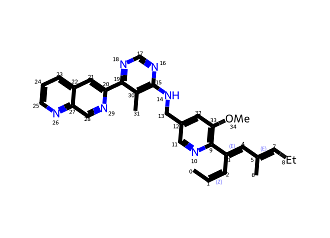 C\C=C/C(=C\C(C)=C\CC)c1ncc(CNc2ncnc(-c3cc4cccnc4cn3)c2C)cc1OC